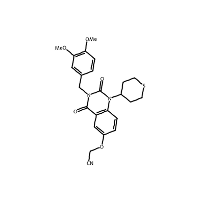 COc1ccc(Cn2c(=O)c3cc(OCC#N)ccc3n(C3CCSCC3)c2=O)cc1OC